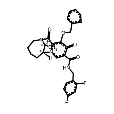 C[C@H]1[C@H]2CCCCN1C(=O)c1c(OCc3ccccc3)c(=O)c(C(=O)NCc3ccc(F)cc3F)cn12